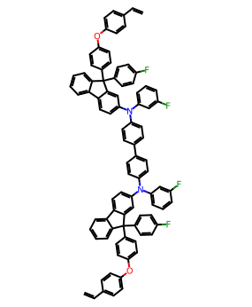 C=Cc1ccc(Oc2ccc(C3(c4ccc(F)cc4)c4ccccc4-c4ccc(N(c5ccc(-c6ccc(N(c7cccc(F)c7)c7ccc8c(c7)C(c7ccc(F)cc7)(c7ccc(Oc9ccc(C=C)cc9)cc7)c7ccccc7-8)cc6)cc5)c5cccc(F)c5)cc43)cc2)cc1